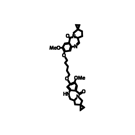 COc1cc2c(cc1OCCCCCOc1cc3c(cc1OC)C(=O)N1CC4(CC4)CC1CN3)N=CC1CCC3(CC3)CN1C2=O